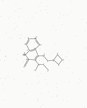 CCC(C)c1c(OCC2CCC2)c2cnccc2[nH]c1=O